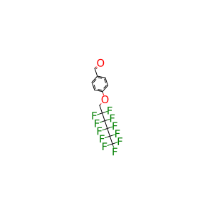 O=Cc1ccc(OCC(F)(F)C(F)(F)C(F)(F)C(F)(F)C(F)(F)F)cc1